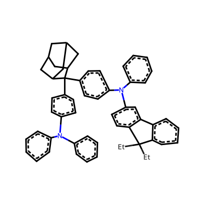 CCC1(CC)c2ccccc2-c2cc(N(c3ccccc3)c3ccc(C4(c5ccc(N(c6ccccc6)c6ccccc6)cc5)C5CC6CC(C5)CC4C6)cc3)ccc21